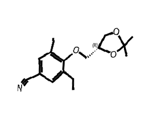 CCc1cc(C#N)cc(C)c1OC[C@@H]1COC(C)(C)O1